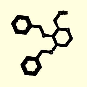 CC(=O)OC[C@H]1OCC[C@@H](OCc2ccccc2)[C@H]1OCc1ccccc1